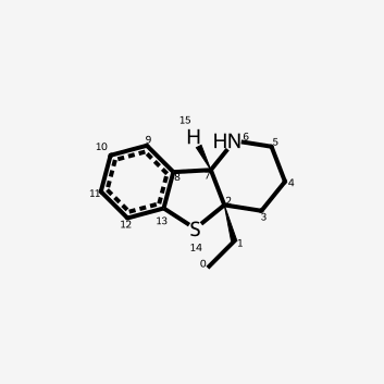 CC[C@]12CCCN[C@H]1c1ccccc1S2